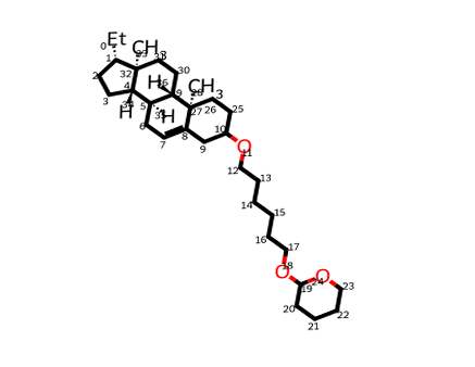 CC[C@H]1CC[C@H]2[C@@H]3CC=C4CC(OCCCCCCOC5CCCCO5)CC[C@]4(C)[C@H]3CC[C@]12C